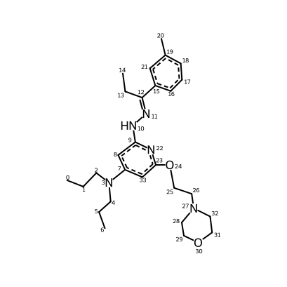 CCCN(CCC)c1cc(N/N=C(\CC)c2cccc(C)c2)nc(OCCN2CCOCC2)c1